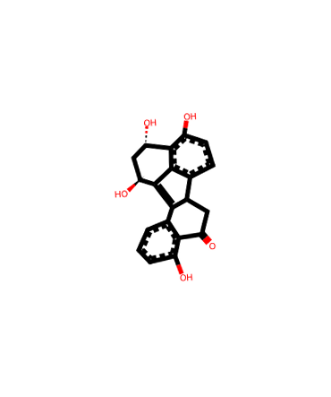 O=C1CC2C(=C3c4c2ccc(O)c4[C@@H](O)C[C@@H]3O)c2cccc(O)c21